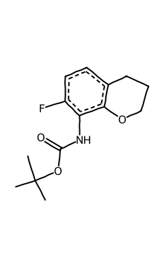 CC(C)(C)OC(=O)Nc1c(F)ccc2c1OCCC2